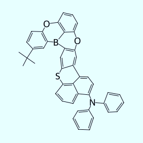 CC(C)(C)c1ccc2c(c1)B1c3cc4c(cc3Oc3cccc(c31)O2)-c1ccc(N(c2ccccc2)c2ccccc2)c2cccc(c12)S4